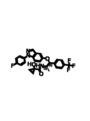 C[C@H](NC(=O)C1(O)CC1)[C@@H](Oc1ccc2c(cnn2-c2ccc(F)cc2)c1)c1ccc(C(F)(F)F)cc1